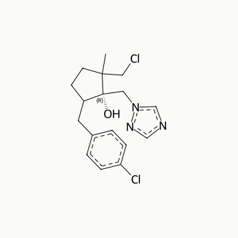 CC1(CCl)CCC(Cc2ccc(Cl)cc2)[C@]1(O)Cn1cncn1